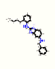 CCCCc1ccccc1Nc1nc2cc(NCc3ccccc3)ccc2[nH]1